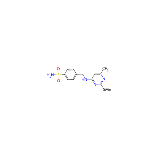 CSc1nc(NCc2ccc(S(N)(=O)=O)cc2)cc(C(F)(F)F)n1